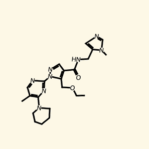 CCOCc1c(C(=O)NCc2cncn2C)cnn1-c1ncc(C)c(N2CCCCC2)n1